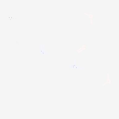 COc1ccc2c(C3CCOCC3)c(C(=O)NC3CCOc4ccccc43)cnc2c1Br